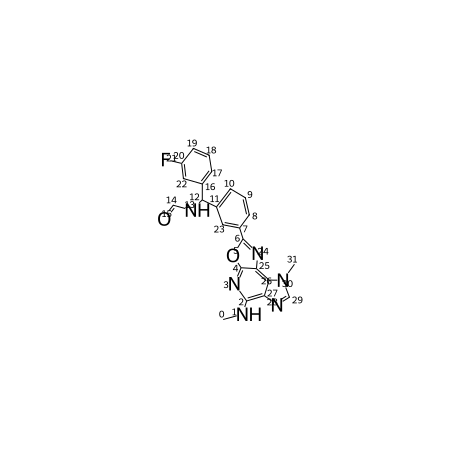 CNc1nc2oc(-c3cccc(C(NC=O)c4cccc(F)c4)c3)nc2c2c1ncn2C